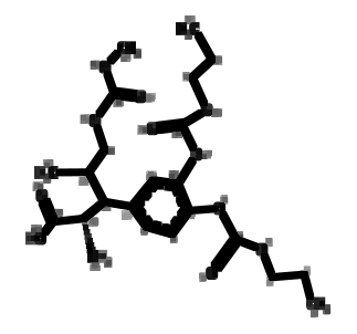 CCCOC(=O)Oc1ccc(C(C(C)COC(=O)OC)[C@H](N)C(=O)O)cc1OC(=O)OCCC